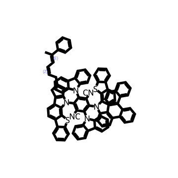 C/C(=C\C=C/CC1=Cc2c(c3ccc4c5ccccc5sc4c3n2-c2c(C#N)c(-n3c4ccccc4c4ccccc43)c(-n3c4cccc(-c5ccccc5-c5cccc6ccccc56)c4c4ccc5c6ccccc6sc5c43)c(C#N)c2-n2c3ccccc3c3ccccc32)C1)c1ccccc1